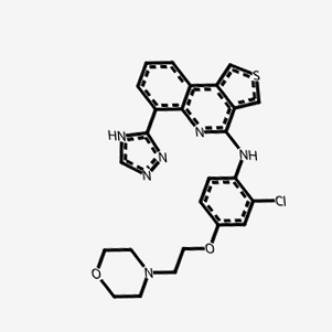 Clc1cc(OCCN2CCOCC2)ccc1Nc1nc2c(-c3nnc[nH]3)cccc2c2cscc12